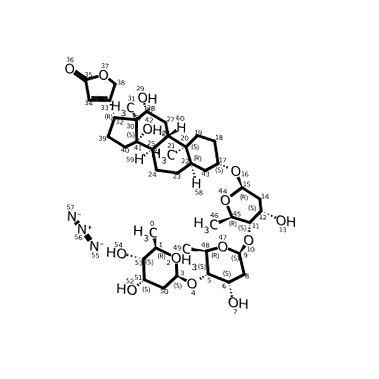 C[C@H]1O[C@@H](O[C@H]2[C@@H](O)C[C@H](O[C@H]3[C@@H](O)C[C@H](O[C@H]4CC[C@@]5(C)[C@H](CC[C@@H]6[C@@H]5C[C@@H](O)[C@]5(C)[C@@H](C7=CC(=O)OC7)CC[C@]65O)C4)O[C@@H]3C)O[C@@H]2C)C[C@H](O)[C@@H]1O.[N-]=[N+]=[N-]